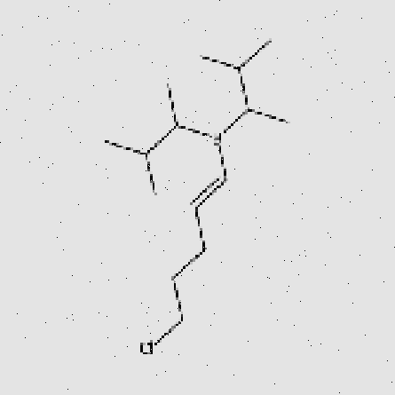 CC(C)C(C)B(C=CCCCCl)C(C)C(C)C